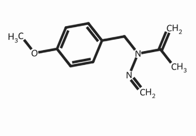 C=NN(Cc1ccc(OC)cc1)C(=C)C